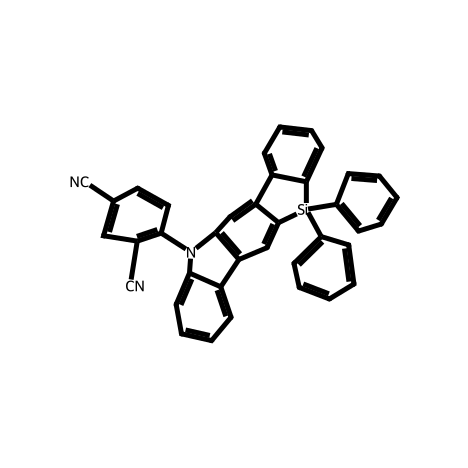 N#Cc1ccc(-n2c3ccccc3c3cc4c(cc32)-c2ccccc2[Si]4(c2ccccc2)c2ccccc2)c(C#N)c1